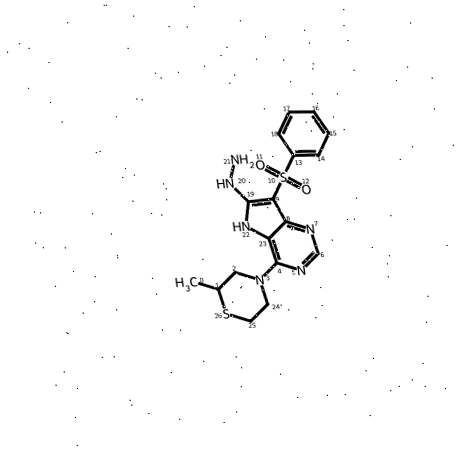 CC1CN(c2ncnc3c(S(=O)(=O)c4ccccc4)c(NN)[nH]c23)CCS1